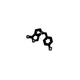 O=C1OCc2c1ccn2Cc1ccc(Cl)cc1